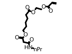 C=CC(=O)OCCOC(=O)CCCCCOC(=O)CC(=O)NCCC